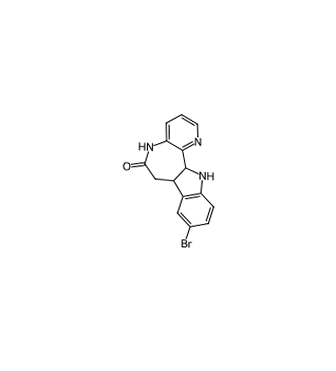 O=C1CC2c3cc(Br)ccc3NC2c2ncccc2N1